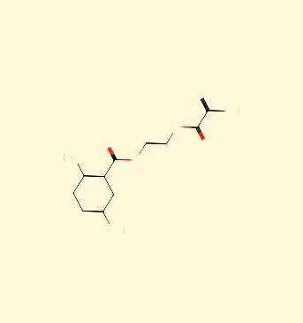 C=C(C)C(=O)OCCOC(=O)C1CC(O)CCC1C